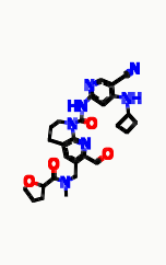 CN(Cc1cc2c(nc1C=O)N(C(=O)Nc1cc(NC3CCC3)c(C#N)cn1)CCC2)C(=O)C1CCCO1